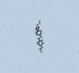 CCCCOc1ccc(CCC2=CCC(CCC)CC2)cc1